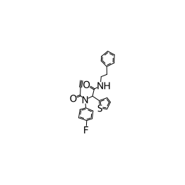 C#CC(=O)N(c1ccc(F)cc1)C(C(=O)NCCc1ccccc1)c1cccs1